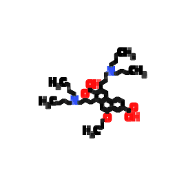 CCCCN(CCCC)CCCc1cc2c(cc(OCCC)c3cc(C(=O)O)ccc32)c(CCCN(CCCC)CCCC)c1C(=O)O